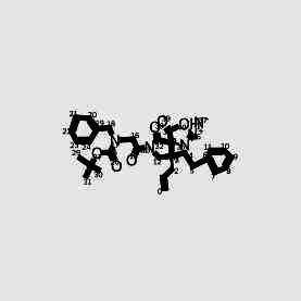 C=CC[C@@]1(CCc2ccccc2)CN(C(=O)CN(Cc2ccccc2)C(=O)OC(C)(C)C)C(=O)[C@@]1(N=[N+]=[N-])C(=O)O